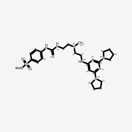 CNS(=O)(=O)c1ccc(NC(=S)NCCN(C)CCNc2cc(N3CCCC3)nc(N3CCCC3)n2)cc1